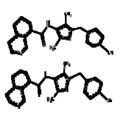 Cc1c(NC(=O)c2cccc3ccncc23)c(C(F)(F)F)nn1Cc1ccc(C#N)cc1.Cc1nn(Cc2ccc(C#N)cc2)c(C)c1NC(=O)c1cccc2ccncc12